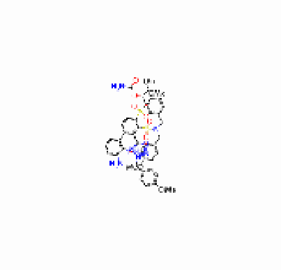 COc1ccc(CN(Cc2ccc(OC)cc2)S(=O)(=O)c2c(S(=O)(=O)CC(CC(C)(C)C)OC(N)=O)ccc(-c3cccc(N)c3N)c2-c2nnn(Cc3ccc(OC)cc3)n2)cc1